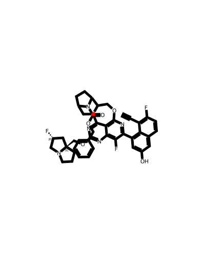 C#Cc1c(F)ccc2cc(O)cc(-c3nc4c5c(nc(OC[C@@]67CCCN6C[C@H](F)C7)nc5c3F)N3CC5CCC(C3CO4)N5C(=O)OCc3ccccc3)c12